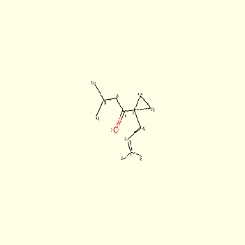 CC(C)=CCC1(C(=O)CC(C)C)CC1